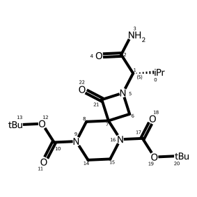 CC(C)[C@@H](C(N)=O)N1CC2(CN(C(=O)OC(C)(C)C)CCN2C(=O)OC(C)(C)C)C1=O